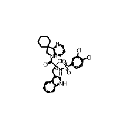 C[C@@](Cc1c[nH]c2ccccc12)(NS(=O)(=O)c1ccc(Cl)c(Cl)c1)C(=O)NCC1(c2ccccn2)CCCCC1